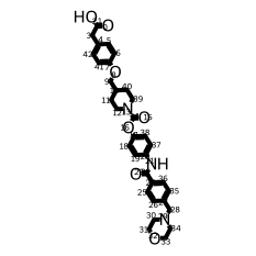 O=C(O)Cc1ccc(OCC2CCN(C(=O)Oc3ccc(NC(=O)c4ccc(CN5CCOCC5)cc4)cc3)CC2)cc1